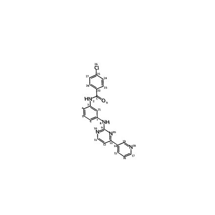 O=C(Nc1cccc(Nc2nccc(-c3cccnc3)n2)c1)c1ccc(Cl)cc1